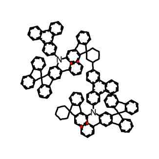 c1ccc(-c2cc3c(cc2N(c2ccc4c(c2)-c2ccccc2C42CCCC(c4ccc5c6ccc(N(c7cc8c(cc7-c7ccccc7)-c7ccccc7C87c8ccccc8-c8ccccc87)c7cccc8c7-c7ccccc7C87CCCCC7)cc6c6ccccc6c5c4)C2)c2ccc4c5ccccc5c5ccccc5c4c2)C2(c4ccccc4-c4ccccc42)c2ccccc2-3)cc1